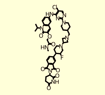 CNC(=O)COc1cc2cc(Nc3nc(N4CCC(CN5CC(N6CCC(c7ccc8c(c7)C(=O)N(C7CCC(=O)NC7=O)C8=O)C(F)C6)C5)CC4)ncc3Cl)ccc2n(C(C)C)c1=O